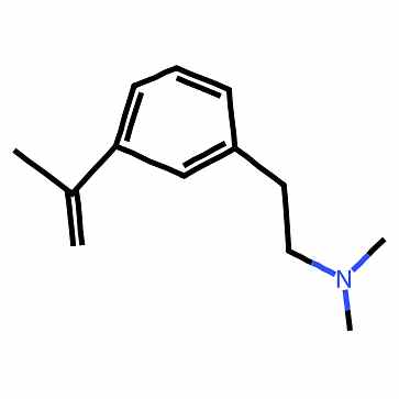 C=C(C)c1cccc(CCN(C)C)c1